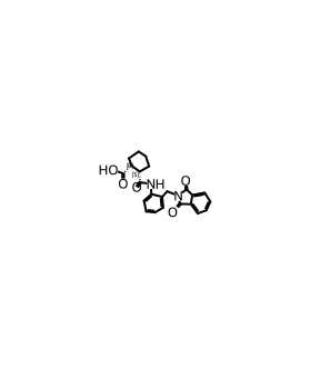 O=C(Nc1ccccc1CN1C(=O)c2ccccc2C1=O)[C@H]1CCCC[C@H]1C(=O)O